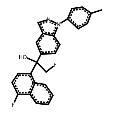 Cc1ccc(-n2ncc3cc(C(O)(CF)c4ccc(F)c5ccccc45)ccc32)cc1